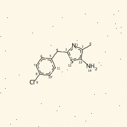 Cc1nc(Cc2ccc(Cl)cc2)sc1N